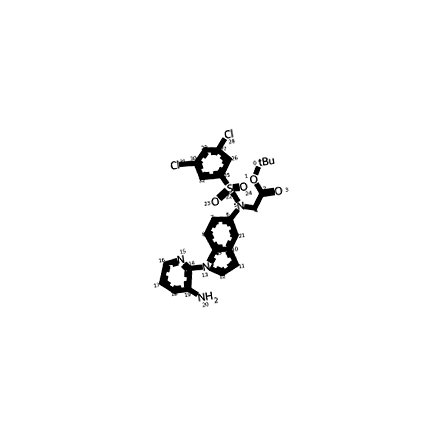 CC(C)(C)OC(=O)CN(c1ccc2c(ccn2-c2ncccc2N)c1)S(=O)(=O)c1cc(Cl)cc(Cl)c1